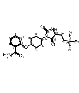 NC(=O)c1cccnc1O[C@H]1CC[C@H](N2C(=O)NC(CCC(F)(F)F)C2=O)CC1